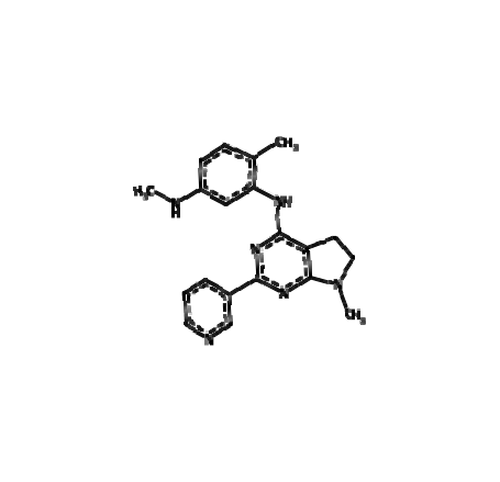 CNc1ccc(C)c(Nc2nc(-c3cccnc3)nc3c2CCN3C)c1